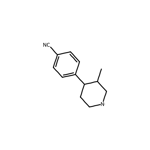 CC1C[N]CCC1c1ccc(C#N)cc1